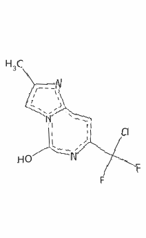 Cc1cn2c(O)nc(C(F)(F)Cl)cc2n1